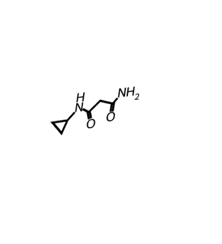 NC(=O)CC(=O)NC1CC1